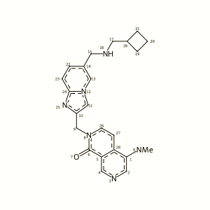 CNc1cncc2c(=O)n(Cc3cn4cc(CNCC5CCC5)ccc4n3)ccc12